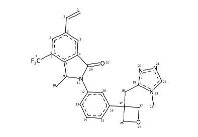 C=Cc1cc2c(c(C(F)(F)F)c1)C(C)N(c1cccc(C3(Cc4nncn4C)COC3)c1)C2=O